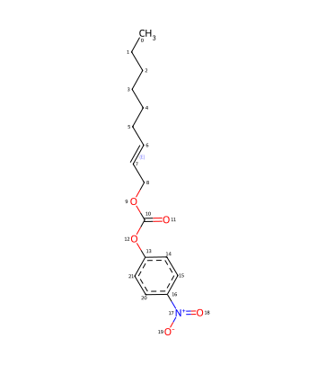 CCCCCC/C=C/COC(=O)Oc1ccc([N+](=O)[O-])cc1